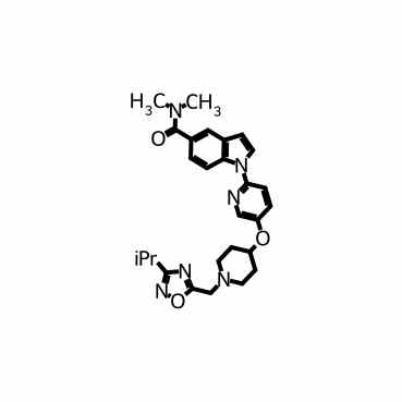 CC(C)c1noc(CN2CCC(Oc3ccc(-n4ccc5cc(C(=O)N(C)C)ccc54)nc3)CC2)n1